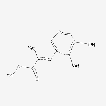 CCCOC(=O)/C(C#N)=C/c1cccc(O)c1O